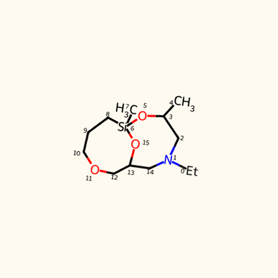 CCN1CC(C)O[Si]2(C)CCCOCC(C1)O2